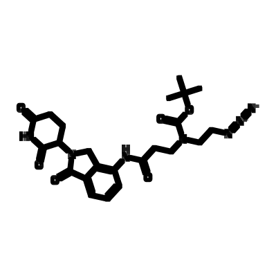 CC(C)(C)OC(=O)N(CCN=[N+]=[N-])CCC(=O)Nc1cccc2c1CN(C1CCC(=O)NC1=O)C2=O